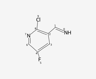 N=Cc1cc(F)cnc1Cl